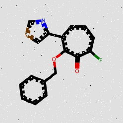 O=c1c(F)cccc(-c2cscn2)c1OCc1ccccc1